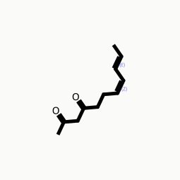 C/C=C/C=C\CCC(=O)CC(C)=O